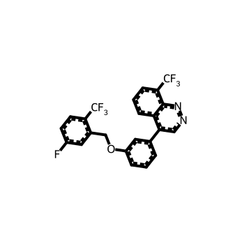 Fc1ccc(C(F)(F)F)c(COc2cccc(-c3cnnc4c(C(F)(F)F)cccc34)c2)c1